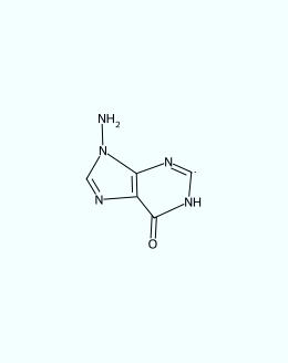 Nn1cnc2c(=O)[nH][c]nc21